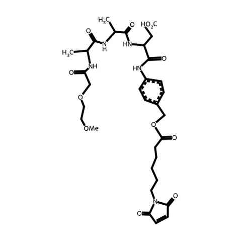 COCCOCC(=O)NC(C)C(=O)NC(C)C(=O)NC(CC(=O)O)C(=O)Nc1ccc(COC(=O)CCCCCN2C(=O)C=CC2=O)cc1